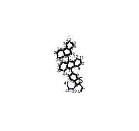 C=Cc1sc2cc(-c3c4ccccc4c(-c4cc5ccccc5c5ccccc45)c4ccccc34)ccc2c1/C=C\C